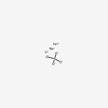 [Fe+2].[Li+].[Na+].[O-][Si]([O-])([O-])[O-]